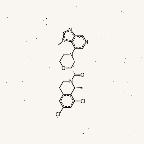 C[C@H]1c2c(Cl)cc(Cl)cc2CCN1C(=O)[C@H]1CN(c2cncc3ncn(C)c23)CCO1